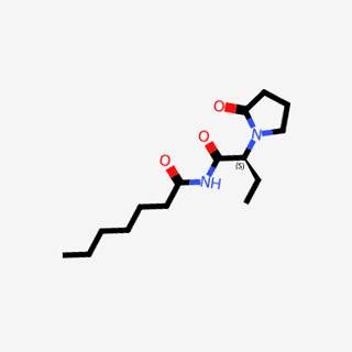 CCCCCCC(=O)NC(=O)[C@H](CC)N1CCCC1=O